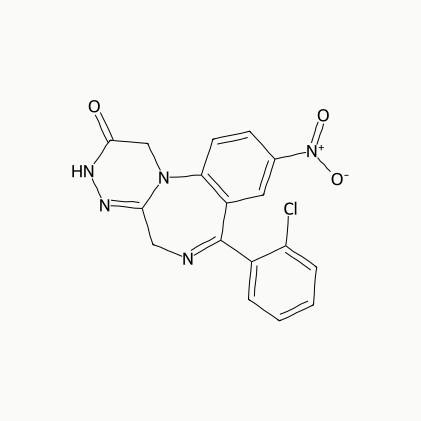 O=C1CN2C(=NN1)CN=C(c1ccccc1Cl)c1cc([N+](=O)[O-])ccc12